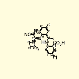 Cc1cc([C@@H](C)Nc2ccc(Cl)nc2C(=O)O)c2nc(N3CCC3C)c(C#N)nc2c1